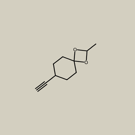 C#CC1CCC2(CC1)OC(C)O2